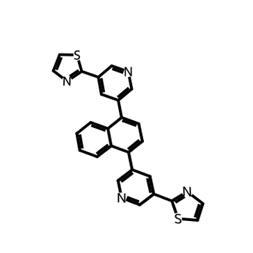 c1ccc2c(-c3cncc(-c4nccs4)c3)ccc(-c3cncc(-c4nccs4)c3)c2c1